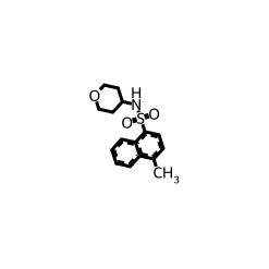 Cc1ccc(S(=O)(=O)NC2CCOCC2)c2ccccc12